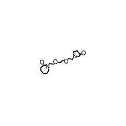 O=C1CCN(CCOCCOCCN2CCCCCC2=O)C1